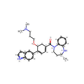 CCCN(C)CCCOC1CC(C(=O)N2CC[C@@H](C)Nc3ccccc32)=CC=C1c1ccc2[nH]ccc2c1